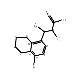 O=C(O)C(Br)C(Br)c1ccc(F)c2c1CCCC2